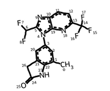 Cc1cc(-n2c(C(F)F)nc3ccc(C(F)(F)F)nc32)cc2c1NC(=O)C2